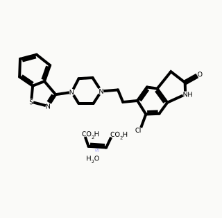 O.O=C(O)/C=C\C(=O)O.O=C1Cc2cc(CCN3CCN(c4nsc5ccccc45)CC3)c(Cl)cc2N1